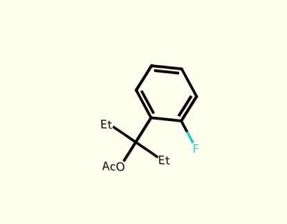 CCC(CC)(OC(C)=O)c1ccccc1F